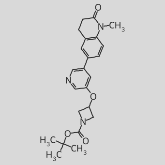 CN1C(=O)CCc2cc(-c3cncc(OC4CN(C(=O)OC(C)(C)C)C4)c3)ccc21